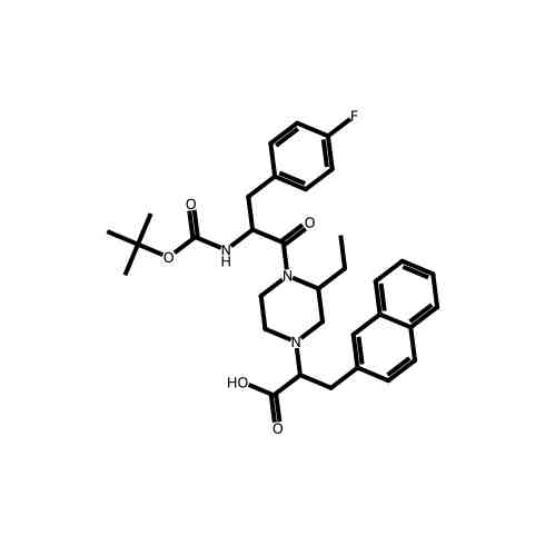 CCC1CN(C(Cc2ccc3ccccc3c2)C(=O)O)CCN1C(=O)C(Cc1ccc(F)cc1)NC(=O)OC(C)(C)C